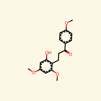 COc1ccc(C(=O)CCc2c(O)cc(OC)cc2OC)cc1